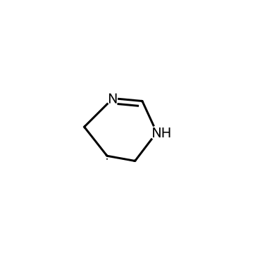 [CH]1CN=CNC1